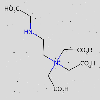 O=C(O)CNCC[N+](CC(=O)O)(CC(=O)O)CC(=O)O